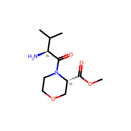 COC(=O)[C@@H]1COCCN1C(=O)[C@@H](N)C(C)C